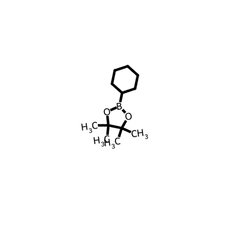 CC1(C)OB(C2CCCCC2)OC1(C)C